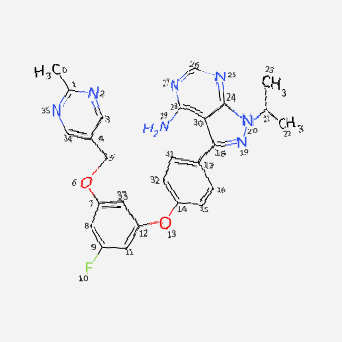 Cc1ncc(COc2cc(F)cc(Oc3ccc(-c4nn(C(C)C)c5ncnc(N)c45)cc3)c2)cn1